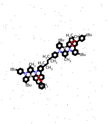 Cc1cc2c3c(c1)N(c1ccc(C(C)(C)C)cc1-c1cccc(-c4ccc(C(C)(C)C)cc4)c1)c1cc4c(cc1B3c1cc(C(C)(C)C)ccc1N2c1ccc(C(C)(C)CCC(C)(C)c2ccc(N3c5cc6c(cc5B5c7cc(C(C)(C)C)ccc7N(c7ccc(C(C)(C)C)cc7)c7cc(C)cc3c75)CC(C)(C)C6)c(-c3ccc(-c5ccccc5)cc3)c2)cc1)CC(C)(C)C4